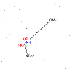 CCCCCCCCCCCCC/C=C/[C@@H](O)[C@H](CO)NC(=O)CCCCCCCCCCCCCCCOC